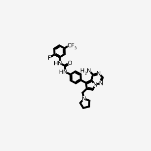 Nc1ncnn2cc(CN3CCCC3)c(-c3ccc(NC(=O)Nc4cc(C(F)(F)F)ccc4F)cc3)c12